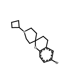 Brc1ccc2c(c1)CCC1(CCN(C3CCC3)CC1)O2